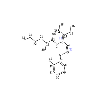 C=C(CC(/C=C\Cc1ccccc1C)=C(/CC)SC)C(C)CCCC